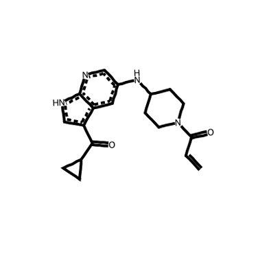 C=CC(=O)N1CCC(Nc2cnc3[nH]cc(C(=O)C4CC4)c3c2)CC1